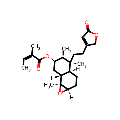 C/C=C(/C)C(=O)O[C@H]1C[C@@H]2[C@H](CC[C@H]3O[C@@]23C)[C@](C)(CCC2=CC(=O)OC2)[C@@H]1C